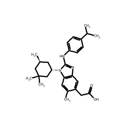 Cc1cc2c(cc1CC(=O)O)nc(Nc1ccc(C(C)C)cc1)n2[C@H]1C[C@H](C)CC(C)(C)C1